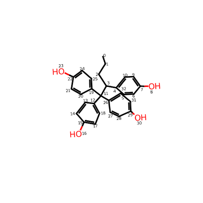 CCCC(c1ccc(O)cc1)C(c1ccc(O)cc1)(c1ccc(O)cc1)c1ccc(O)cc1